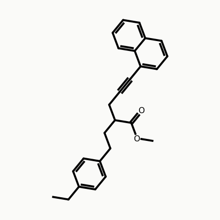 CCc1ccc(CCC(CC#Cc2cccc3ccccc23)C(=O)OC)cc1